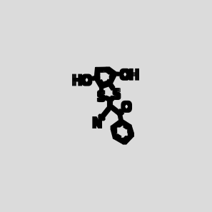 N#CC(C(=O)c1ccccc1)=C1Sc2c(O)ccc(O)c2S1